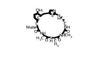 CN[C@H]1Cc2ccc(O)c(c2)Cc2cnc(s2)NCCCNC(=O)[C@H](C)NC(=O)[C@H](C)NC(=O)[C@H](C)NC1=O